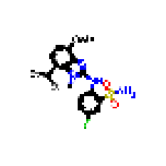 CCC(CC)c1ccc(OC)c2nc(Nc3ccc(Cl)cc3S(N)(=O)=O)n(C)c12